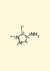 Cn1ncc(N)c1I